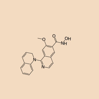 COc1cc2c(N3CC=Cc4ccccc43)nccc2cc1C(=O)NO